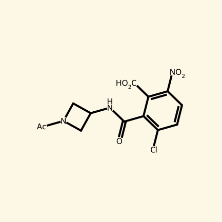 CC(=O)N1CC(NC(=O)c2c(Cl)ccc([N+](=O)[O-])c2C(=O)O)C1